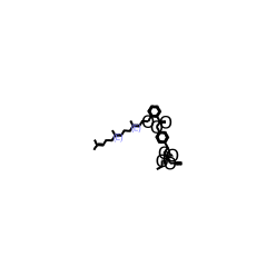 C#COP(=O)(OCC)OCc1ccc(OC(=O)c2ccccc2OC/C=C(\C)CC/C=C(\C)CCC=C(C)C)cc1